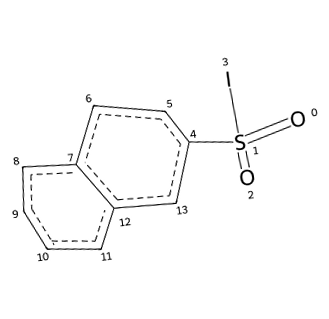 O=S(=O)(I)c1ccc2ccccc2c1